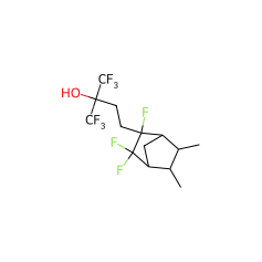 CC1C(C)C2CC1C(F)(F)C2(F)CCC(O)(C(F)(F)F)C(F)(F)F